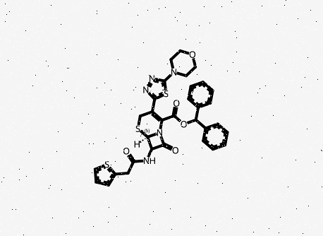 O=C(Cc1cccs1)NC1C(=O)N2C(C(=O)OC(c3ccccc3)c3ccccc3)=C(c3nnc(N4CCOCC4)s3)CS[C@H]12